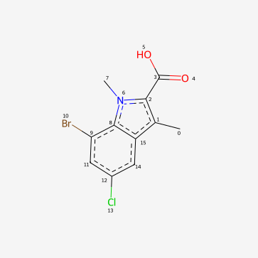 Cc1c(C(=O)O)n(C)c2c(Br)cc(Cl)cc12